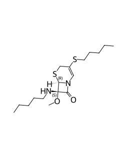 CCCCCN[C@]1(OC)C(=O)N2C=C(SCCCCC)CS[C@@H]21